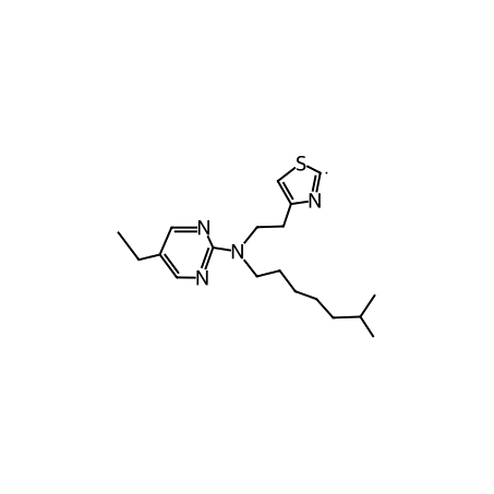 CCc1cnc(N(CCCCCC(C)C)CCc2cs[c]n2)nc1